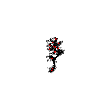 CC(=O)[C@@H](CCC(=O)O)NC(=O)[C@@H](CCC(=O)O)NC(=O)[C@@H](CCC(=O)O)NC(=O)[C@@H](CCC(=O)O)NC(=O)[C@@H](CCC(=O)O)NC(=O)[C@@H](CCC(=O)O)NC(=O)[C@@H](CCC(=O)O)NC(=O)[C@@H](CCC(=O)O)NC(=O)[C@@H](CCC(=O)O)NC(=O)CCCCCN1/C(=C/C=C/C=C/C=C/C2=Nc3ccc([SH](=O)=O)cc3C2(C)C)C(C)(C)c2cc(S(=O)(=O)O)ccc21